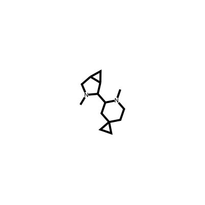 CN1CCC2(CC2)CC1C1C2CC2CN1C